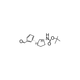 CC(C)(C)OC(=O)N[C@@H]1CCC[C@H](c2cccc(C=O)c2)C1